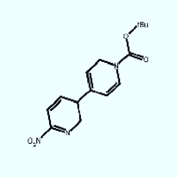 CC(C)(C)OC(=O)N1C=CC(C2C=CC([N+](=O)[O-])=NC2)=CC1